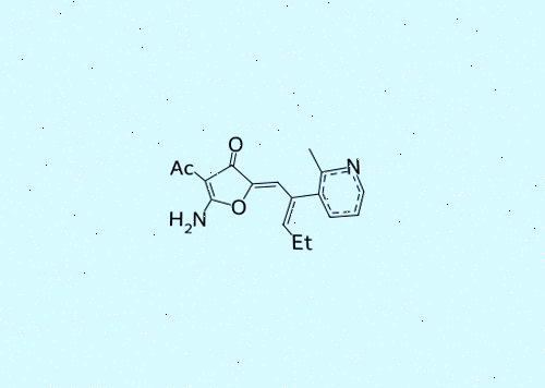 CC/C=C(/C=C1\OC(N)=C(C(C)=O)C1=O)c1cccnc1C